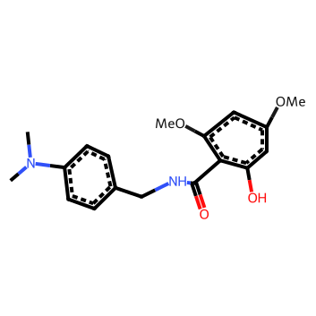 COc1cc(O)c(C(=O)NCc2ccc(N(C)C)cc2)c(OC)c1